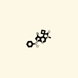 CN1C(=O)C2(CCC2)c2c1cnc1c2c(Br)cn1[S+]([O-])c1ccccc1